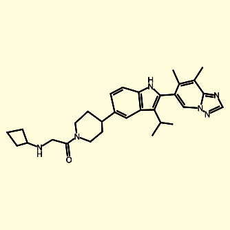 Cc1c(-c2[nH]c3ccc(C4CCN(C(=O)CNC5CCC5)CC4)cc3c2C(C)C)cn2ncnc2c1C